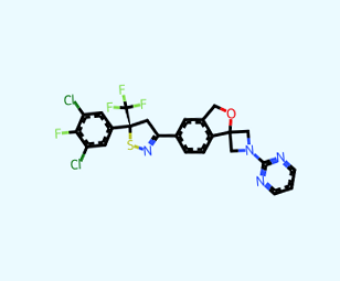 Fc1c(Cl)cc([C@]2(C(F)(F)F)CC(c3ccc4c(c3)COC43CN(c4ncccn4)C3)=NS2)cc1Cl